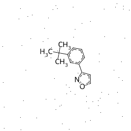 CC(C)(C)c1cccc(-c2ccon2)c1